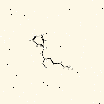 CCC(CCCCN)CSc1ccccc1